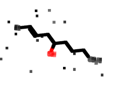 CCC=CCC(O)CCCC(=O)O